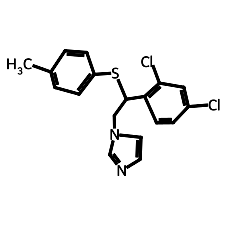 Cc1ccc(SC(Cn2ccnc2)c2ccc(Cl)cc2Cl)cc1